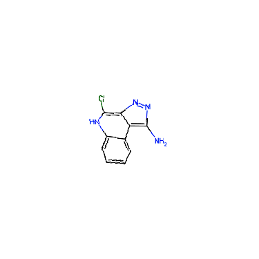 Nc1nnc2c(Cl)[nH]c3ccccc3c1-2